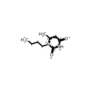 CCCCn1c(C)cc(=O)[nH]c1=O